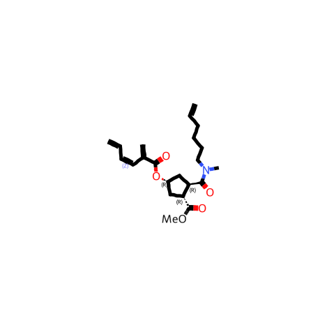 C=C/C=C\C(=C)C(=O)O[C@H]1C[C@@H](C(=O)OC)[C@H](C(=O)N(C)CCCCC=C)C1